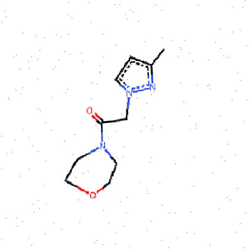 Cc1[c]cn(CC(=O)N2CCOCC2)n1